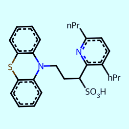 CCCc1ccc(CCC)c(C(CCN2c3ccccc3Sc3ccccc32)S(=O)(=O)O)n1